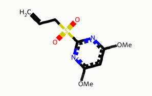 C=CCS(=O)(=O)c1nc(OC)cc(OC)n1